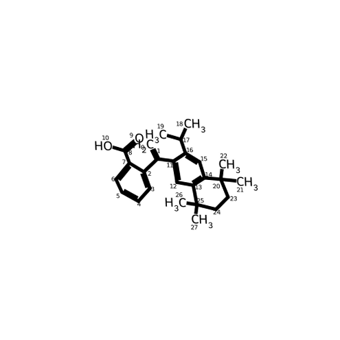 C=C(c1ccccc1C(=O)O)c1cc2c(cc1C(C)C)C(C)(C)CCC2(C)C